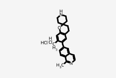 Cc1cc2c(cc1-c1ccc3c(C)nccc3c1)CCC1(CCNCC1)O2.Cl.Cl